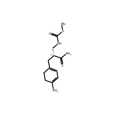 CC(C)(C)OC(=O)NC[C@@H](CC1=CC=C([N+](=O)[O-])CC1)C(N)=S